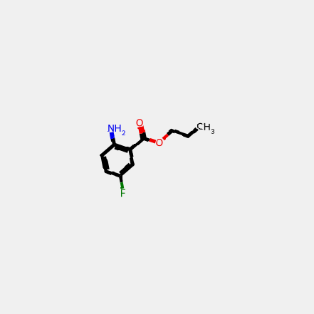 CCCOC(=O)c1cc(F)ccc1N